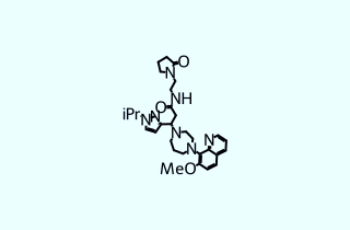 COc1ccc2cccnc2c1N1CCCN(C(CC(=O)NCCN2CCCC2=O)c2ccn(C(C)C)n2)CC1